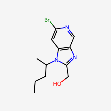 CCCC(C)n1c(CO)nc2cnc(Br)cc21